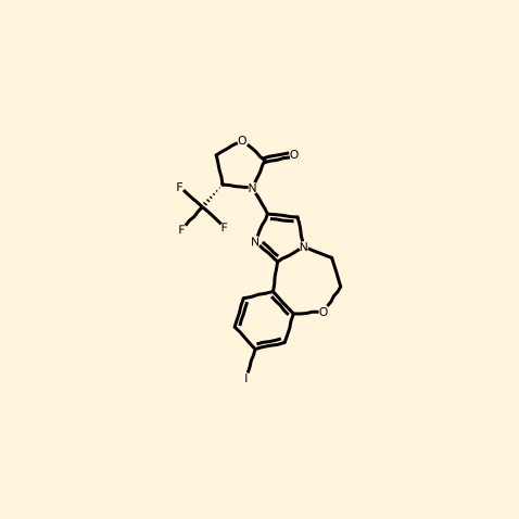 O=C1OC[C@@H](C(F)(F)F)N1c1cn2c(n1)-c1ccc(I)cc1OCC2